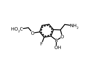 NCC1OB(O)c2c1ccc(OCC(=O)O)c2F